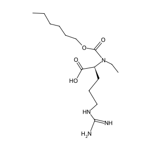 CCCCCCOC(=O)N(CC)[C@@H](CCCNC(=N)N)C(=O)O